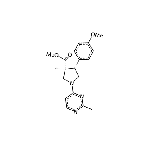 COC(=O)[C@]1(C)CN(c2ccnc(C)n2)C[C@H]1c1ccc(OC)cc1